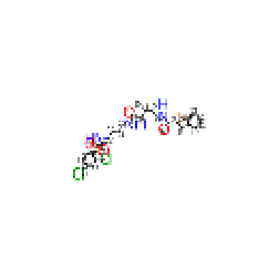 CC(CCNC(=O)c1cc2ccccc2s1)CC(=O)NCCCCNS(=O)(=O)c1ccc(Cl)cc1Cl